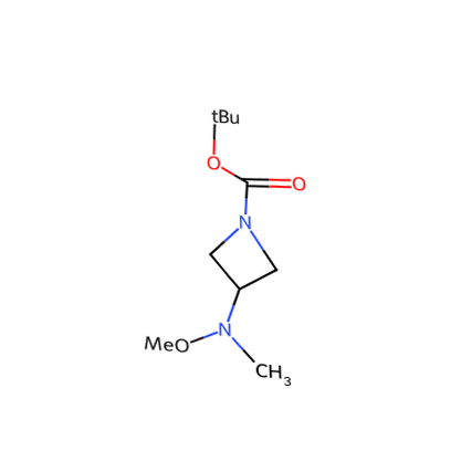 CON(C)C1CN(C(=O)OC(C)(C)C)C1